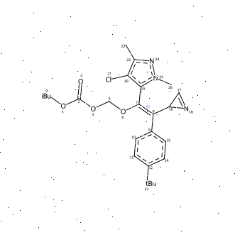 CCC(C)OC(=O)OCO/C(=C(\c1ccc(C(C)(C)C)cc1)C1C=N1)c1c(Cl)c(C)nn1C